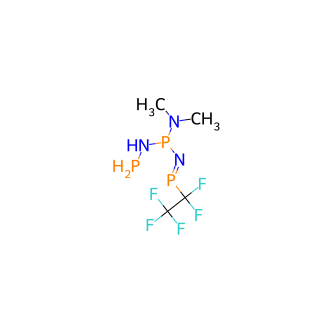 CN(C)P(N=PC(F)(F)C(F)(F)F)NP